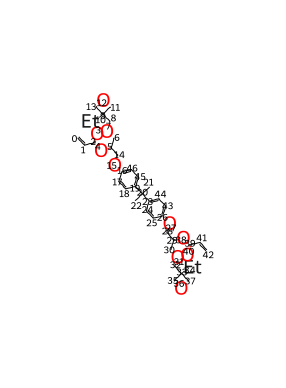 C=CC(=O)OC(COCC1(CC)COC1)COc1ccc(C(C)(C)c2ccc(OCC(COCC3(CC)COC3)OC(=O)C=C)cc2)cc1